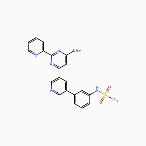 CNc1cc(-c2cncc(-c3cccc(NS(C)(=O)=O)c3)c2)nc(-c2ccccn2)n1